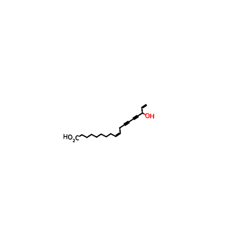 C=CC(O)C#CC#CC/C=C\CCCCCCCC(=O)O